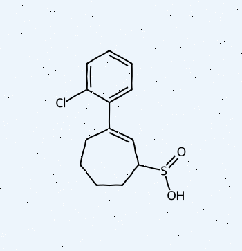 O=S(O)C1C=C(c2ccccc2Cl)CCCC1